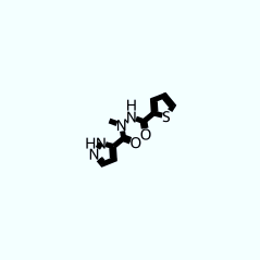 CN(NC(=O)c1cccs1)C(=O)c1ccn[nH]1